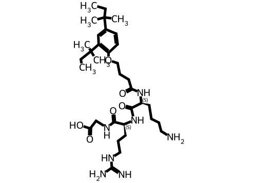 CCC(C)(C)c1ccc(OCCCC(=O)N[C@@H](CCCCN)C(=O)N[C@@H](CCCNC(=N)N)C(=O)NCC(=O)O)c(C(C)(C)CC)c1